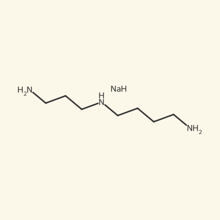 NCCCCNCCCN.[NaH]